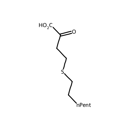 CCCCCCCSCCC(=O)C(=O)O